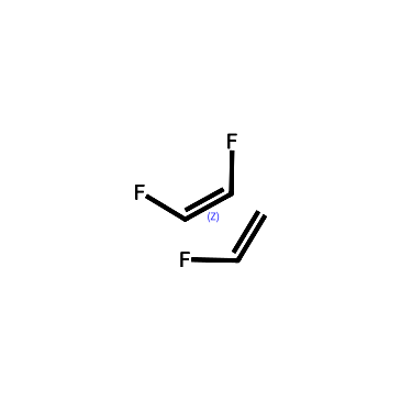 C=CF.F/C=C\F